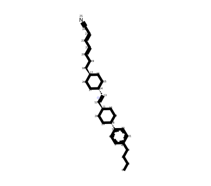 CCCCc1ccc([C@H]2CC[C@H](/C=C/[C@H]3CC[C@H](CCC=CC=CC#N)CC3)CC2)cc1